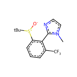 Cn1ccnc1-c1c([S+]([O-])C(C)(C)C)cccc1C(F)(F)F